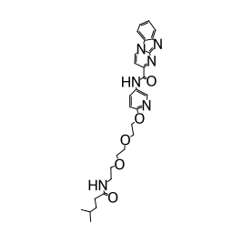 CC(C)CCC(=O)NCCOCCOCCOc1ccc(NC(=O)c2ccn3c(n2)nc2ccccc23)cn1